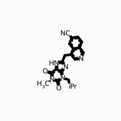 CC(C)Cn1c(=O)n(C)c(=O)c2[nH]c(Cc3cncc4ccc(C#N)cc34)nc21